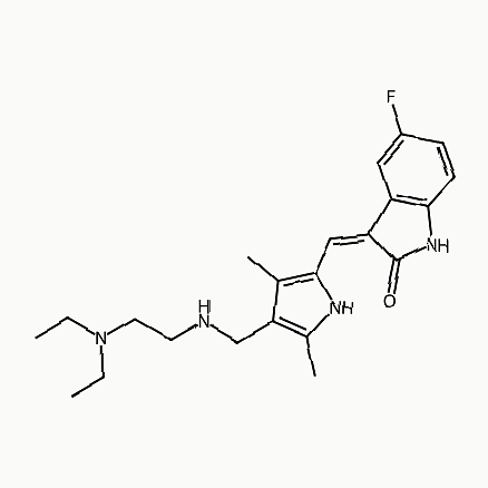 CCN(CC)CCNCc1c(C)[nH]c(/C=C2\C(=O)Nc3ccc(F)cc32)c1C